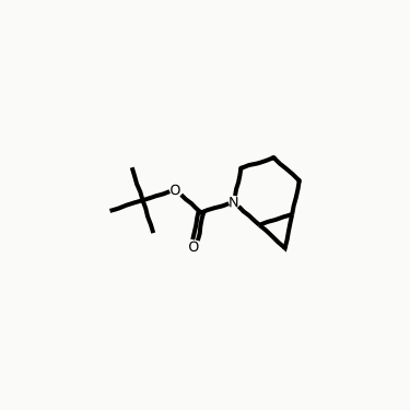 CC(C)(C)OC(=O)N1CCCC2CC21